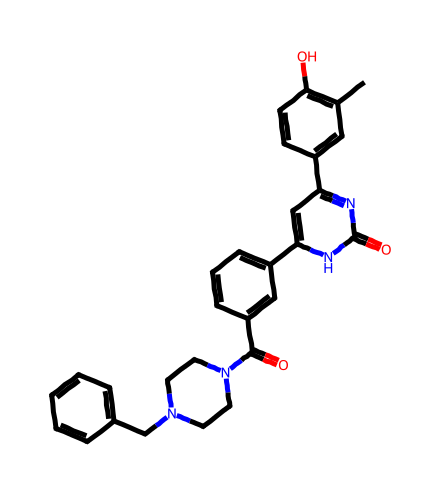 Cc1cc(-c2cc(-c3cccc(C(=O)N4CCN(Cc5ccccc5)CC4)c3)[nH]c(=O)n2)ccc1O